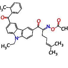 CCn1c2ccc(C(=O)/C(CCC=C(C)C)=N/OC(C)=O)cc2c2cc(C(=O)c3ccccc3C)ccc21